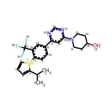 CC(C)C1=CC=C[SH]1c1ccc(-c2cc(N3CCC(O)CC3)ncn2)cc1C(F)(F)F